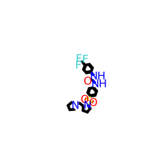 O=C(Nc1ccc(C(F)(F)F)cc1)Nc1ccc(S(=O)(=O)N2CCCC2CN2CCCC2)cc1